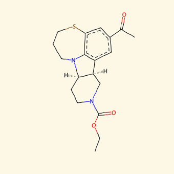 CCOC(=O)N1CC[C@@H]2[C@H](C1)c1cc(C(C)=O)cc3c1N2CCCS3